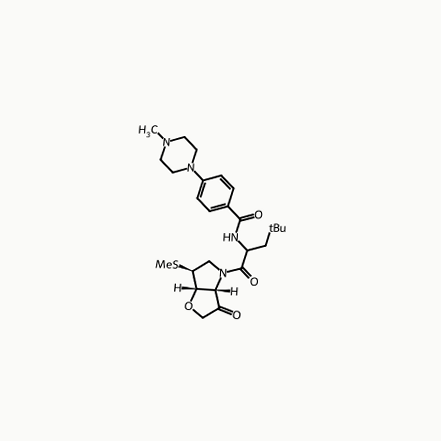 CS[C@H]1CN(C(=O)C(CC(C)(C)C)NC(=O)c2ccc(N3CCN(C)CC3)cc2)[C@@H]2C(=O)CO[C@H]12